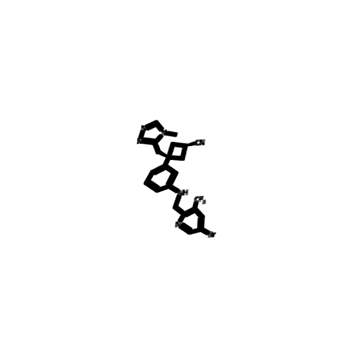 Cn1cnnc1C[C@]1(c2cccc(NCc3ncc(Br)cc3C(F)(F)F)c2)C[C@H](C#N)C1